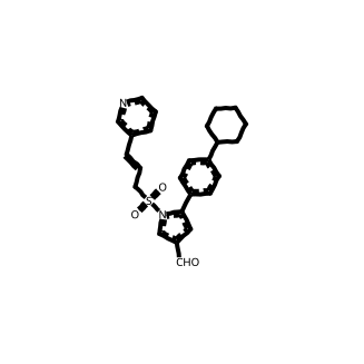 O=Cc1cc(-c2ccc(C3CCCCC3)cc2)n(S(=O)(=O)CC=Cc2cccnc2)c1